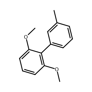 COc1cccc(OC)c1-c1cccc(C)c1